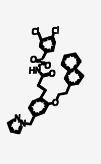 O=C(CCc1ccc(Cn2cccn2)cc1OCCc1ccc2ccccc2c1)NS(=O)(=O)c1ccc(Cl)c(Cl)c1